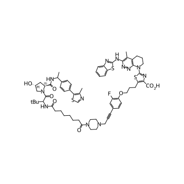 Cc1ncsc1-c1ccc(C(C)NC(=O)[C@@H]2C[C@@H](O)CN2C(=O)C(NC(=O)CCCCCCC(=O)N2CCN(CC#Cc3ccc(OCCCc4sc(N5CCCc6c5nnc(Nc5nc7ccccc7s5)c6C)nc4C(=O)O)c(F)c3)CC2)C(C)(C)C)cc1